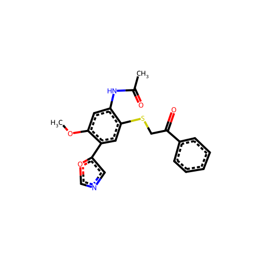 COc1cc(NC(C)=O)c(SCC(=O)c2ccccc2)cc1-c1cnco1